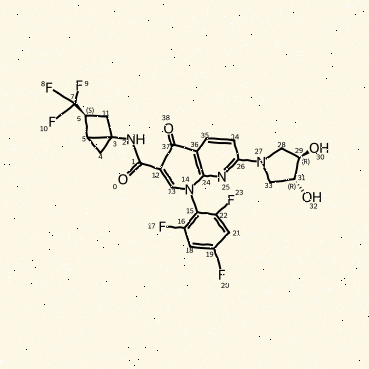 O=C(NC12CC1[C@@H](C(F)(F)F)C2)c1cn(-c2c(F)cc(F)cc2F)c2nc(N3C[C@@H](O)[C@H](O)C3)ccc2c1=O